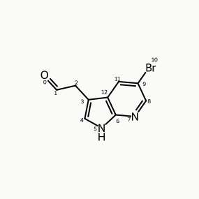 O=CCc1c[nH]c2ncc(Br)cc12